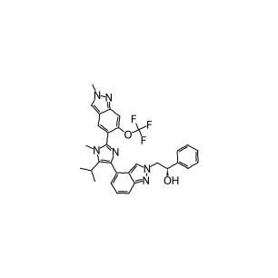 CC(C)c1c(-c2cccc3nn(C[C@H](O)c4ccccc4)cc23)nc(-c2cc3cn(C)nc3cc2OC(F)(F)F)n1C